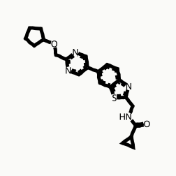 O=C(NCc1nc2ccc(-c3cnc(COC4CCCC4)nc3)cc2s1)C1CC1